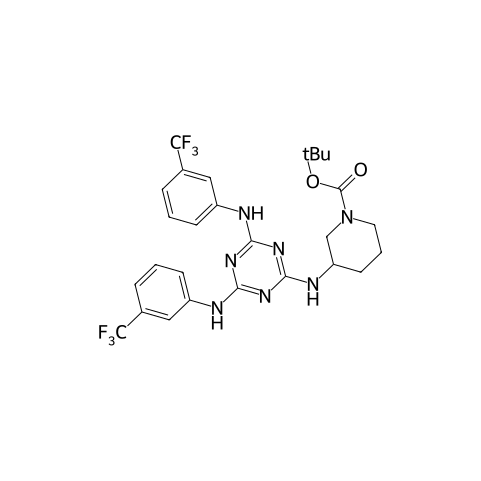 CC(C)(C)OC(=O)N1CCCC(Nc2nc(Nc3cccc(C(F)(F)F)c3)nc(Nc3cccc(C(F)(F)F)c3)n2)C1